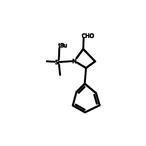 CC(C)(C)[Si](C)(C)N1C(C=O)CC1c1ccccc1